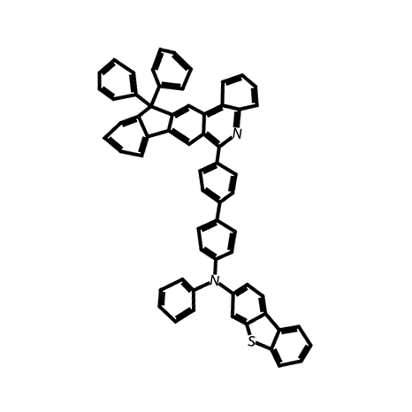 c1ccc(N(c2ccc(-c3ccc(-c4nc5ccccc5c5cc6c(cc45)-c4ccccc4C6(c4ccccc4)c4ccccc4)cc3)cc2)c2ccc3c(c2)sc2ccccc23)cc1